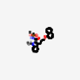 Cn1c(C(=O)NS(C)(=O)=O)c(CCCOc2cccc3ccccc23)c2ccccc21